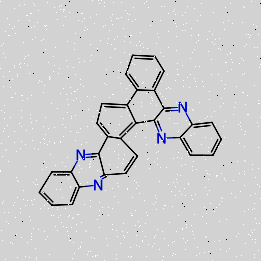 c1ccc2nc3c(ccc4c3ccc3c5ccccc5c5nc6ccccc6nc5c34)nc2c1